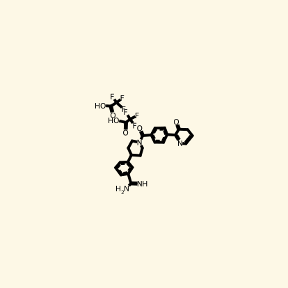 N=C(N)c1cccc(C2CCN(C(=O)c3ccc(C4=NC=CCC4=O)cc3)CC2)c1.O=C(O)C(F)(F)F.O=C(O)C(F)(F)F